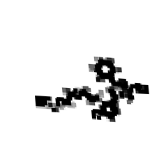 CC(C)(C)[Si](C)(C)O[C@H](CCC1=CCC(=O)[C@@H]1CCC=C=CCC(=O)O)C1CCCCC1